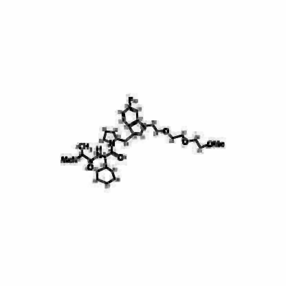 CNC(C)C(=O)NC(C(=O)N1CCCC1Cc1cn(CCOCCOCCOC)c2cc(F)ccc12)C1CCCCC1